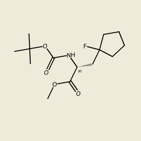 COC(=O)[C@@H](CC1(F)CCCC1)NC(=O)OC(C)(C)C